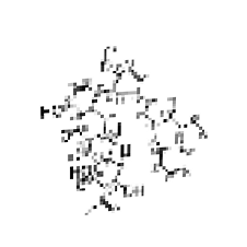 C=C(C)C1=C(O)C[C@@H]2C[C@@H]3Cc4c(-c5cc(CCC(Cc6ccccc6)C(=C)CCC)ccc5OC)ccc(O)c4C(=O)C3=C(C)[C@]2(O)C1=O